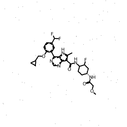 COCC(=O)N[C@@H]1CCC(NC(=O)c2c(C)[nH]c3c(-c4cc(C(F)F)ccc4OCC4CC4)ncnc23)C(F)C1